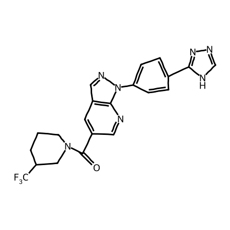 O=C(c1cnc2c(cnn2-c2ccc(-c3nnc[nH]3)cc2)c1)N1CCCC(C(F)(F)F)C1